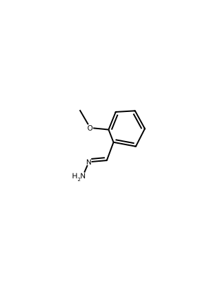 COc1ccccc1C=NN